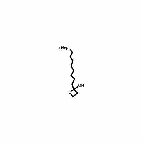 CCCCCCCCCCCCCCCC1(O)CCO1